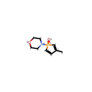 CC1=CP(=O)(N2CCOCC2)C=C1